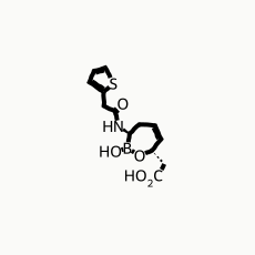 O=C(O)C[C@H]1C=CC[C@H](NC(=O)Cc2cccs2)B(O)O1